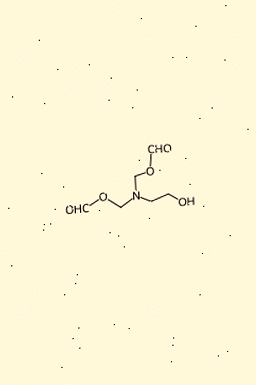 O=COCN(CCO)COC=O